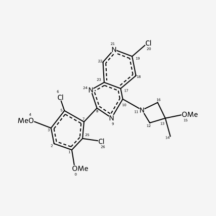 COc1cc(OC)c(Cl)c(-c2nc(N3CC(C)(OC)C3)c3cc(Cl)ncc3n2)c1Cl